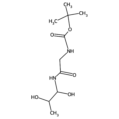 CC(O)C(O)NC(=O)CNC(=O)OC(C)(C)C